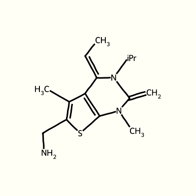 C=C1N(C)c2sc(CN)c(C)c2/C(=C/C)N1C(C)C